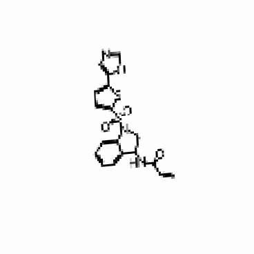 C=CC(=O)NC1CCN(S(=O)(=O)c2ccc(-c3cnco3)s2)c2ccccc21